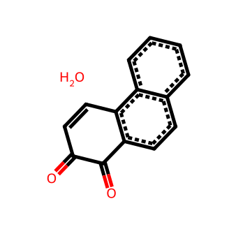 O.O=C1C=Cc2c(ccc3ccccc23)C1=O